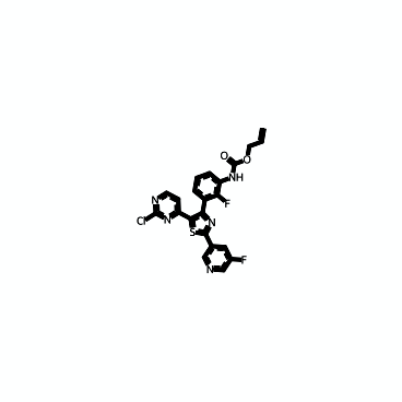 C=CCOC(=O)Nc1cccc(-c2nc(-c3cncc(F)c3)sc2-c2ccnc(Cl)n2)c1F